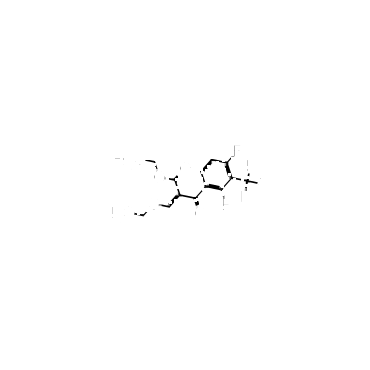 CCOC=C(C(=O)OCC)C(=O)c1ccc(F)c(C(F)(F)F)c1F